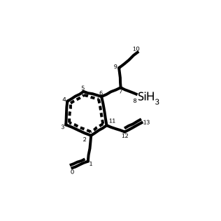 C=Cc1cccc(C([SiH3])CC)c1C=C